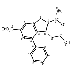 CCCC[S+]([O-])N1Cc2cc(C(=O)OCC)nc(-c3ccccc3)c2[C@H]1CCO